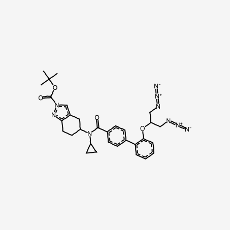 CC(C)(C)OC(=O)n1cc2c(n1)CCC(N(C(=O)c1ccc(-c3ccccc3OC(CN=[N+]=[N-])CN=[N+]=[N-])cc1)C1CC1)C2